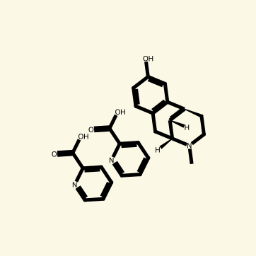 CN1CC[C@]23CCCC[C@H]2[C@H]1Cc1ccc(O)cc13.O=C(O)c1ccccn1.O=C(O)c1ccccn1